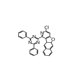 Clc1cc2c(c(-c3nc(-c4ccccc4)nc(-c4ccccc4)n3)n1)C1C=c3ccccc3=CC1O2